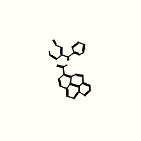 C=C/C=C(\C=C/C)C(=N\C(=C)c1ccc2ccc3cccc4ccc1c2c34)/c1ccccc1